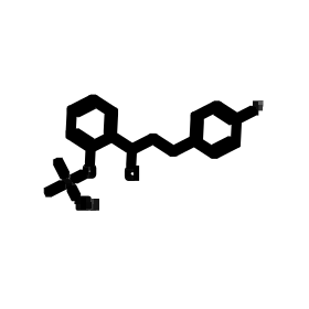 CC(C)(C)[Si](C)(C)Oc1ccccc1C(Cl)CCc1ccc(F)cc1